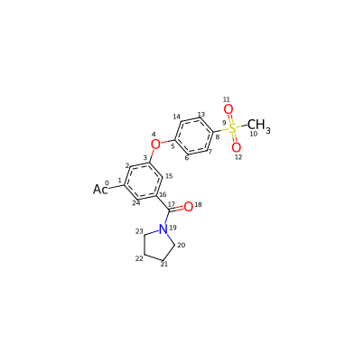 CC(=O)c1cc(Oc2ccc(S(C)(=O)=O)cc2)cc(C(=O)N2CCCC2)c1